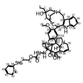 CCC1(O)CC2CN(CCc3c([nH]c4ccccc34)[C@@](C)(c3cc4c(cc3OC)N(C)[C@@H]3C45CCN4CC=C[C@](CC)([C@H]45)[C@@H](O)[C@]3(O)C(=O)NNC(=O)OCCSSc3ccccn3)C2)C1